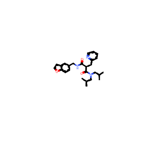 CC(C)CN(CC(C)C)C(=O)C(Cc1ccccn1)C(=O)NCc1ccc2occc2c1